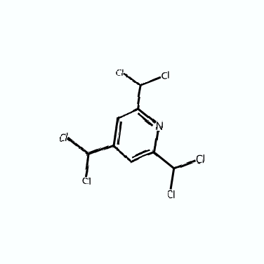 ClC(Cl)c1cc(C(Cl)Cl)nc(C(Cl)Cl)c1